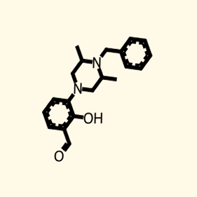 CC1CN(c2cccc(C=O)c2O)CC(C)N1Cc1ccccc1